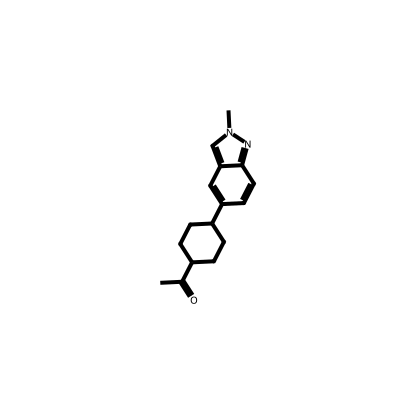 CC(=O)C1CCC(c2ccc3nn(C)cc3c2)CC1